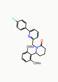 COc1cccc(OC)c1C1CCCC(=O)N1Cc1cccc(-c2ccc(F)cc2)n1